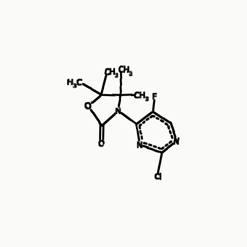 CC1(C)OC(=O)N(c2nc(Cl)ncc2F)C1(C)C